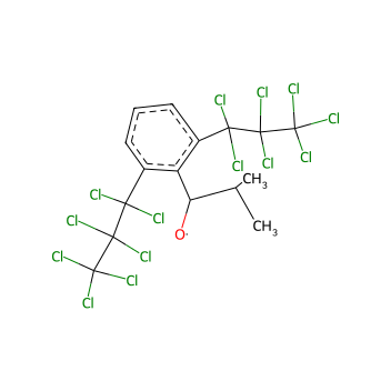 CC(C)C([O])c1c(C(Cl)(Cl)C(Cl)(Cl)C(Cl)(Cl)Cl)cccc1C(Cl)(Cl)C(Cl)(Cl)C(Cl)(Cl)Cl